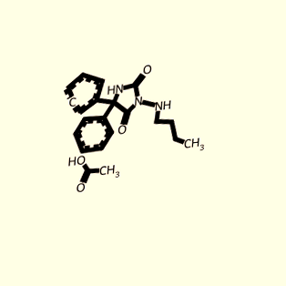 CC(=O)O.CCCCNN1C(=O)NC(c2ccccc2)(c2ccccc2)C1=O